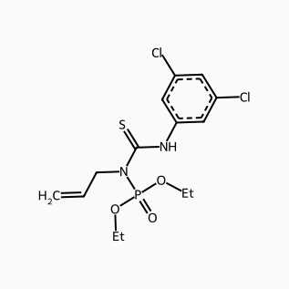 C=CCN(C(=S)Nc1cc(Cl)cc(Cl)c1)P(=O)(OCC)OCC